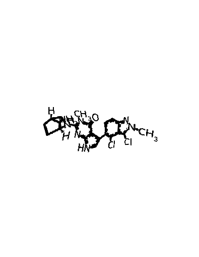 Cn1nc2ccc(-c3c[nH]c4nc(N5C[C@H]6CC[C@@H]5[C@@H]6N)n(C)c(=O)c34)c(Cl)c2c1Cl